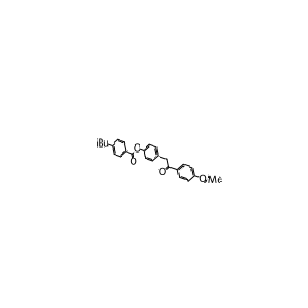 CCC(C)c1ccc(C(=O)Oc2ccc(CC(=O)c3ccc(OC)cc3)cc2)cc1